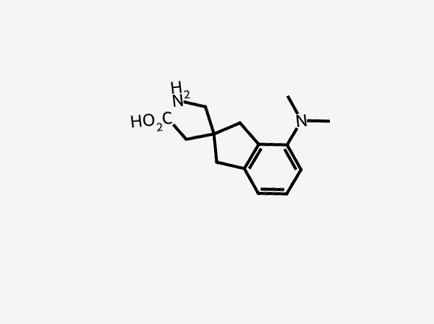 CN(C)c1cccc2c1CC(CN)(CC(=O)O)C2